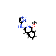 CC(C)Oc1nc(Nc2cc[nH]n2)cc2ccccc12